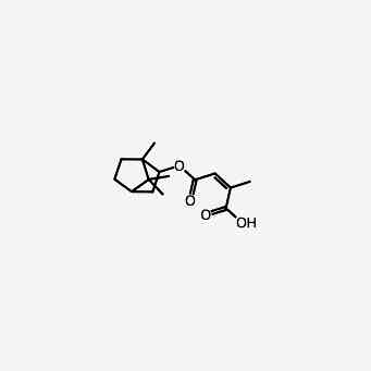 CC(=CC(=O)OC1CC2CCC1(C)C2(C)C)C(=O)O